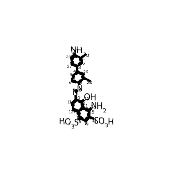 Cc1cc(-c2ccc(N=Nc3ccc4c(S(=O)(=O)O)cc(S(=O)(=O)O)c(N)c4c3O)c(C)c2)ccc1N